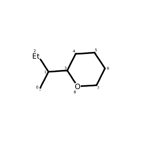 [CH2]C(CC)C1CCCCO1